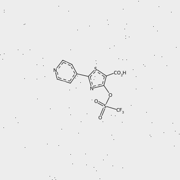 O=C(O)c1sc(-c2ccncc2)nc1OS(=O)(=O)C(F)(F)F